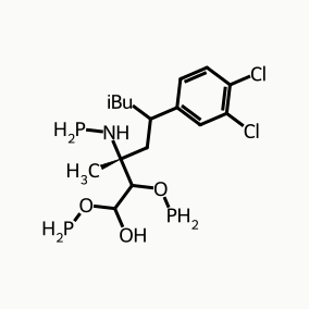 CCC(C)C(C[C@@](C)(NP)C(OP)C(O)OP)c1ccc(Cl)c(Cl)c1